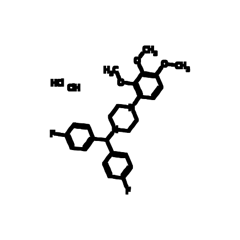 COc1ccc(N2CCN(C(c3ccc(F)cc3)c3ccc(F)cc3)CC2)c(OC)c1OC.Cl.Cl